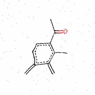 C=c1ccc(C(C)=O)c(C)c1=C